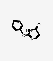 O=c1ccnc(Oc2ccccc2)[nH]1